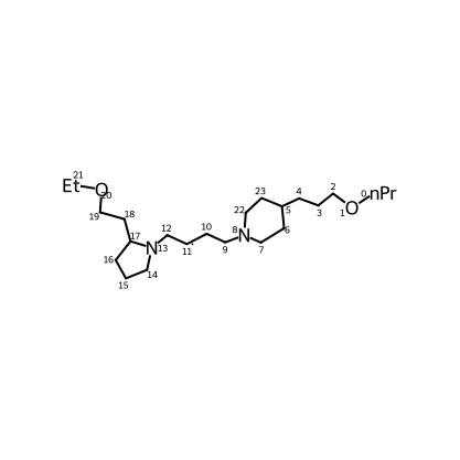 CCCOCCCC1CCN(CC[CH]CN2CCCC2CCOCC)CC1